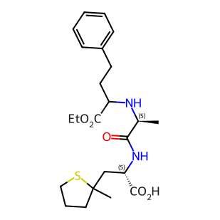 CCOC(=O)C(CCc1ccccc1)N[C@@H](C)C(=O)N[C@@H](CC1(C)CCCS1)C(=O)O